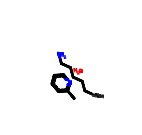 CCCCCCCCCCCCCCN.Cc1ccccn1.O